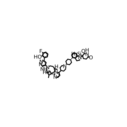 CC1[C@@H]2CN(c3cc(-c4cccc(F)c4O)nnc3N)CC[C@@H](C)C[C@]1(c1nccc(C3CCN([C@H]4CC[C@H](c5cccc6c5CCN6[C@]5([SiH3])CCC(=O)NC5=O)CC4)CC3)n1)C2